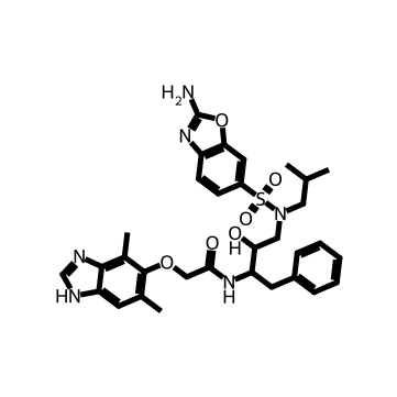 Cc1cc2[nH]cnc2c(C)c1OCC(=O)NC(Cc1ccccc1)C(O)CN(CC(C)C)S(=O)(=O)c1ccc2nc(N)oc2c1